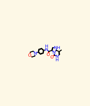 CC1=CNC(=O)N2C(C(=O)Nc3ccc(N4CCOCC4)cc3)=CNC12